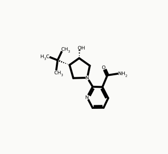 CC(C)(C)[C@H]1CN(c2ncccc2C(N)=O)C[C@H]1O